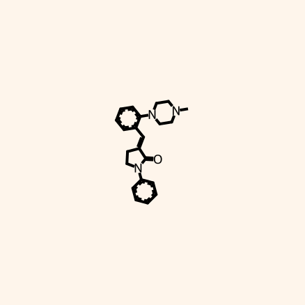 CN1CCN(c2ccccc2/C=C2\CCN(c3ccccc3)C2=O)CC1